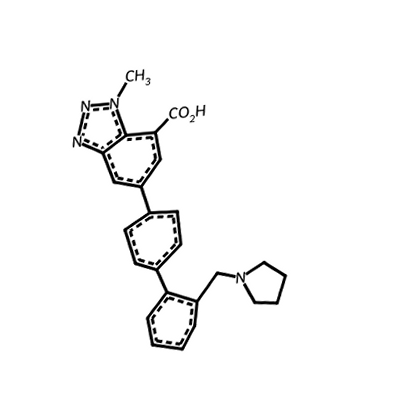 Cn1nnc2cc(-c3ccc(-c4ccccc4CN4CCCC4)cc3)cc(C(=O)O)c21